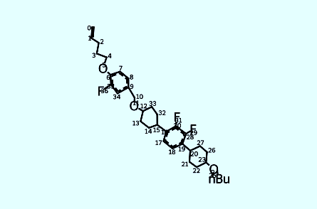 C=CCCCOc1ccc(COC2CCC(c3ccc(C4CCC(OCCCC)CC4)c(F)c3F)CC2)cc1F